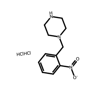 Cl.Cl.O=[N+]([O-])c1ccccc1CN1CCNCC1